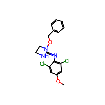 COc1cc(Cl)c(N=C2NCCN2OCc2ccccc2)c(Cl)c1